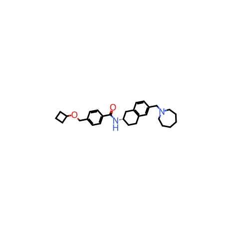 O=C(N[C@H]1CCc2cc(CN3CCCCCC3)ccc2C1)c1ccc(COC2CCC2)cc1